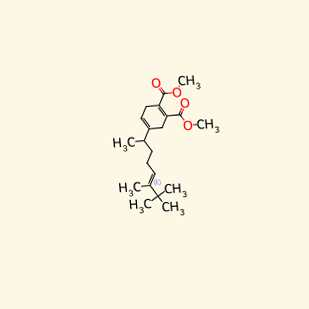 COC(=O)C1=C(C(=O)OC)CC(C(C)CC/C=C(\C)C(C)(C)C)=CC1